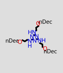 CCCCCCCCCCOCCCNc1nc(NCCCOCCCCCCCCCC)nc(NCCCOCCCCCCCCCC)n1